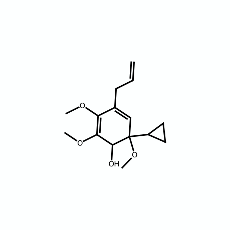 C=CCC1=CC(OC)(C2CC2)C(O)C(OC)=C1OC